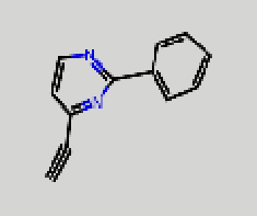 C#Cc1ccnc(-c2ccccc2)n1